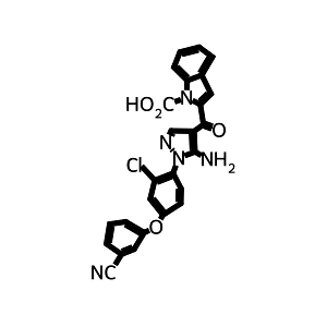 N#Cc1cccc(Oc2ccc(-n3ncc(C(=O)c4cc5ccccc5n4C(=O)O)c3N)c(Cl)c2)c1